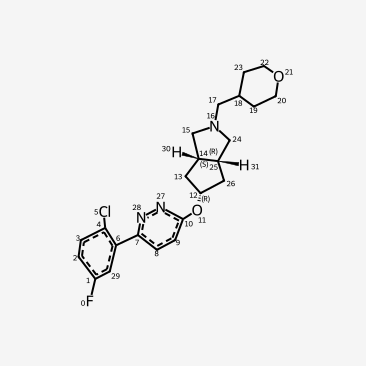 Fc1ccc(Cl)c(-c2ccc(O[C@@H]3C[C@@H]4CN(CC5CCOCC5)C[C@@H]4C3)nn2)c1